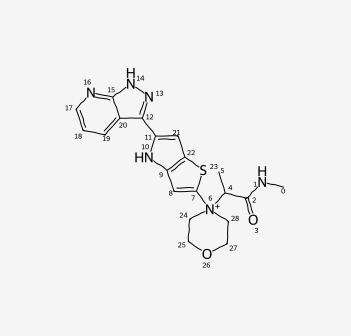 CNC(=O)C(C)[N+]1(c2cc3[nH]c(-c4n[nH]c5ncccc45)cc3s2)CCOCC1